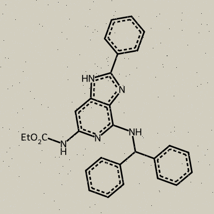 CCOC(=O)Nc1cc2[nH]c(-c3ccccc3)nc2c(NC(c2ccccc2)c2ccccc2)n1